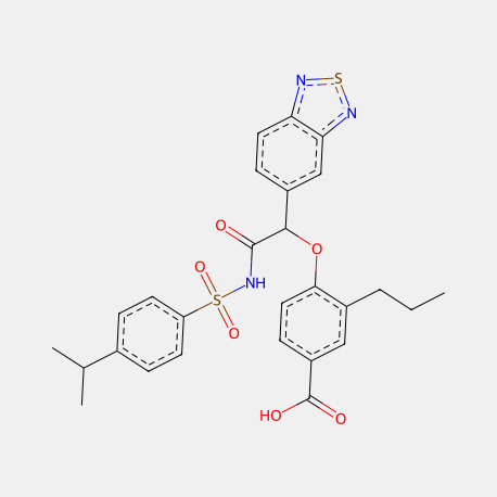 CCCc1cc(C(=O)O)ccc1OC(C(=O)NS(=O)(=O)c1ccc(C(C)C)cc1)c1ccc2nsnc2c1